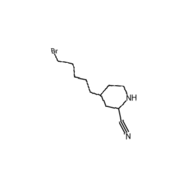 N#CC1CC(CCCCCBr)CCN1